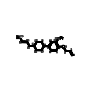 C=CCOc1ccc(C2CCC(C/C=C/CC)CC2)cc1CCC